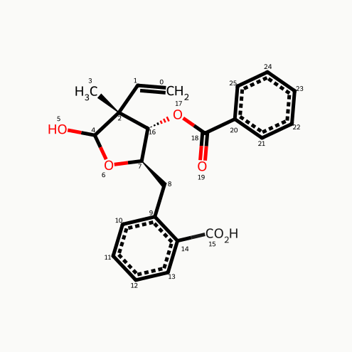 C=C[C@@]1(C)C(O)O[C@H](Cc2ccccc2C(=O)O)[C@H]1OC(=O)c1ccccc1